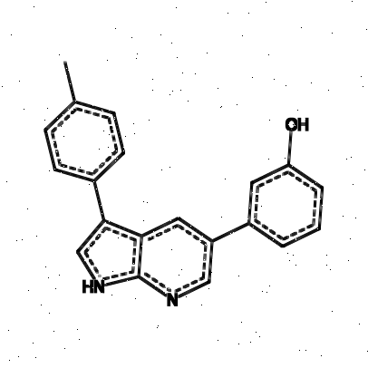 Cc1ccc(-c2c[nH]c3ncc(-c4cccc(O)c4)cc23)cc1